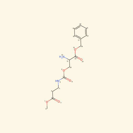 COC(=O)CCNC(=O)OCC(N)C(=O)OCc1ccccc1